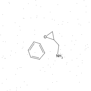 NCC1CO1.c1ccccc1